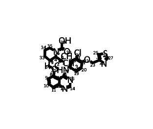 CC(C)(C)C1[C@H](COc2cccc3ncnc(Nc4ccc(OCc5cscn5)c(Cl)c4)c23)CCCN1C(=O)O